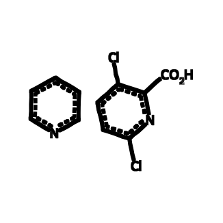 O=C(O)c1nc(Cl)ccc1Cl.c1ccncc1